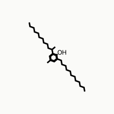 CCCCCCCCCCCCc1cc(C)cc(C(C)CCCCCCCCCC)c1O